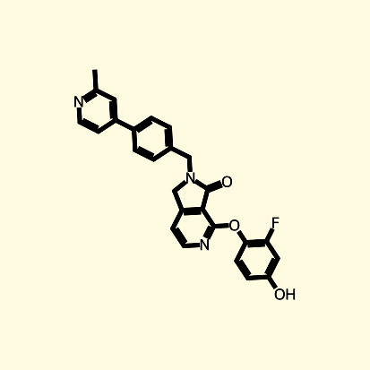 Cc1cc(-c2ccc(CN3Cc4ccnc(Oc5ccc(O)cc5F)c4C3=O)cc2)ccn1